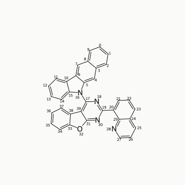 c1ccc2cc3c(cc2c1)c1ccccc1n3-c1nc(-c2cccc3cccnc23)nc2oc3ccccc3c12